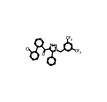 O=C(c1ccccc1-c1ccccc1Cl)c1nnn(Cc2cc(C(F)(F)F)cc(C(F)(F)F)c2)c1-c1ccccc1